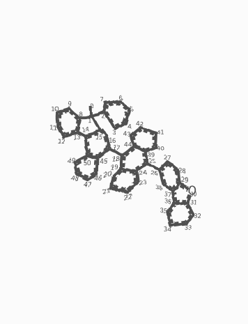 CC1(c2ccccc2)c2ccccc2-c2c1cc(-c1c3ccccc3c(-c3ccc4oc5ccccc5c4c3)c3ccccc13)c1ccccc21